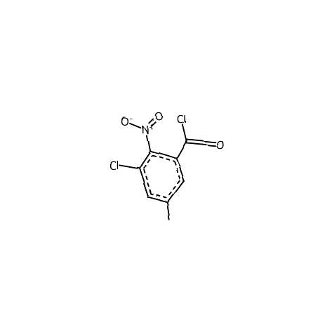 Cc1cc(Cl)c([N+](=O)[O-])c(C(=O)Cl)c1